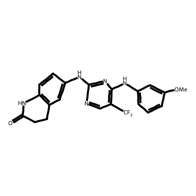 COc1cccc(Nc2nc(Nc3ccc4c(c3)CCC(=O)N4)ncc2C(F)(F)F)c1